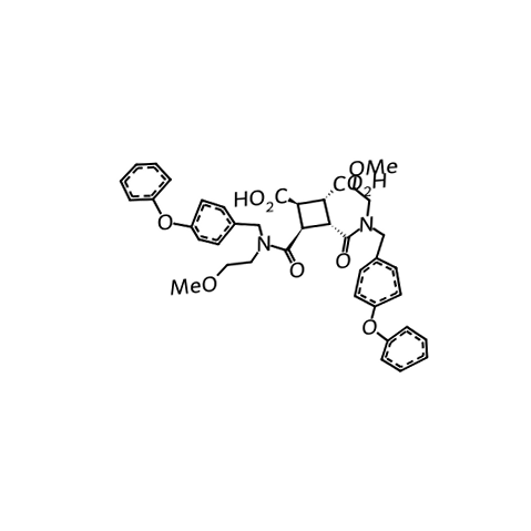 COCCN(Cc1ccc(Oc2ccccc2)cc1)C(=O)[C@H]1[C@@H](C(=O)O)[C@H](C(=O)O)[C@@H]1C(=O)N(CCOC)Cc1ccc(Oc2ccccc2)cc1